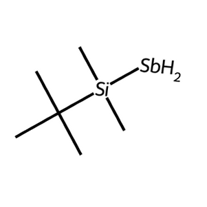 CC(C)(C)[Si](C)(C)[SbH2]